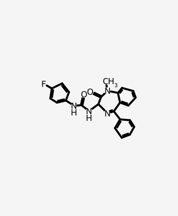 CN1C(=O)C(NC(=O)Nc2ccc(F)cc2)N=C(c2ccccc2)c2ccccc21